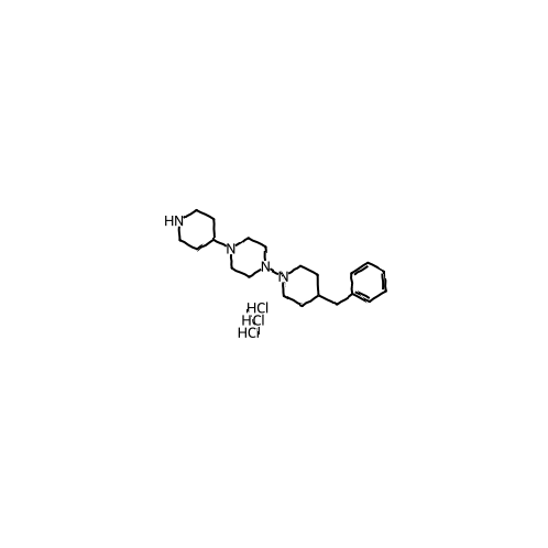 Cl.Cl.Cl.c1ccc(CC2CCN(N3CCN(C4CCNCC4)CC3)CC2)cc1